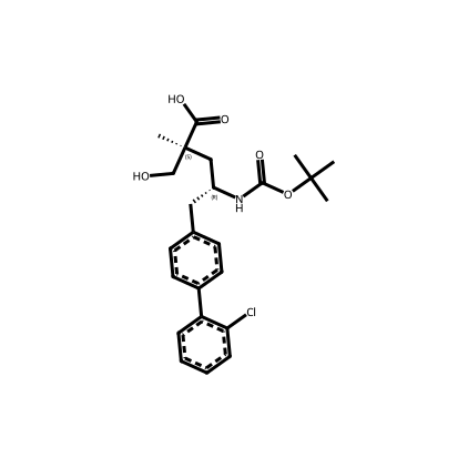 CC(C)(C)OC(=O)N[C@H](Cc1ccc(-c2ccccc2Cl)cc1)C[C@@](C)(CO)C(=O)O